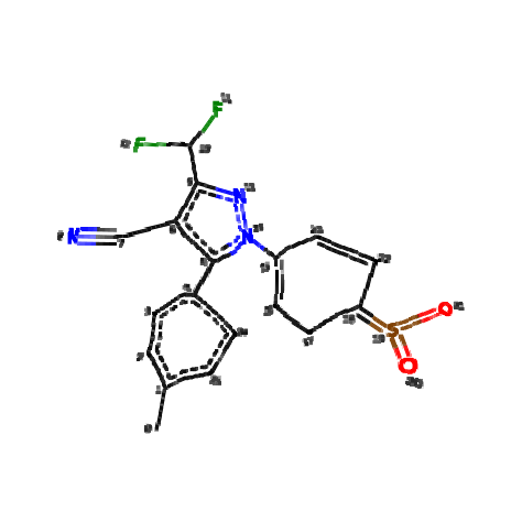 Cc1ccc(-c2c(C#N)c(C(F)F)nn2C2=CCC(=S(=O)=O)C=C2)cc1